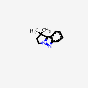 CC1(C)CCn2nc3ccccc3c21